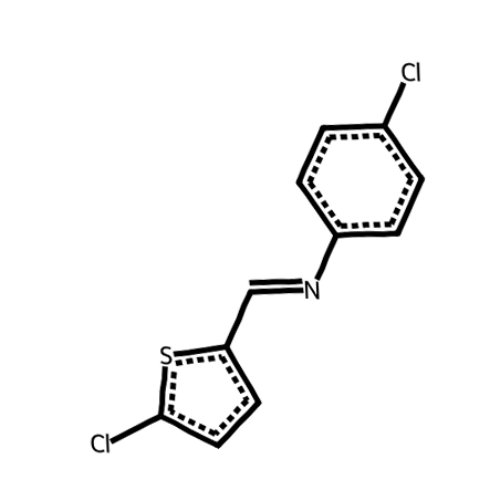 Clc1ccc(N=Cc2ccc(Cl)s2)cc1